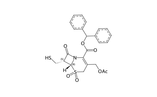 CC(=O)OCC1=C(C(=O)OC(c2ccccc2)c2ccccc2)N2C(=O)[C@@H](CS)[C@H]2S(=O)(=O)C1